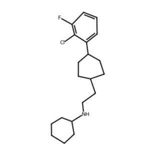 Fc1cccc(C2CCC(CCNC3CCCCC3)CC2)c1Cl